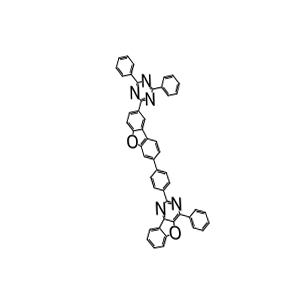 c1ccc(-c2nc(-c3ccccc3)nc(-c3ccc4oc5cc(-c6ccc(-c7nc(-c8ccccc8)c8oc9ccccc9c8n7)cc6)ccc5c4c3)n2)cc1